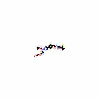 COCCOc1ncc(N(C(=O)OC(C)(C)C)c2ncc(-c3ccc(CC(=O)Nc4cc(C5(C(F)(F)F)CC5)on4)c(F)c3)cn2)s1